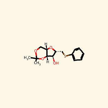 CC1(C)OC[C@@H]2O[C@H](CSc3ccccc3)[C@@H](O)[C@@H]2O1